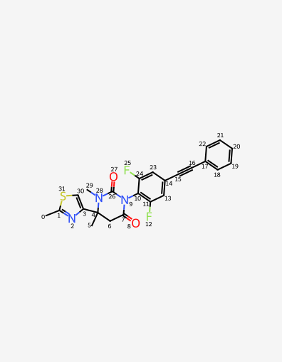 Cc1nc(C2(C)CC(=O)N(c3c(F)cc(C#Cc4ccccc4)cc3F)C(=O)N2C)cs1